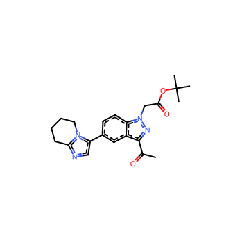 CC(=O)c1nn(CC(=O)OC(C)(C)C)c2ccc(-c3cnc4n3CCCC4)cc12